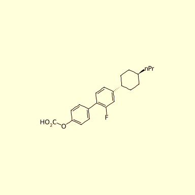 CCC[C@H]1CC[C@H](c2ccc(-c3ccc(OC(=O)O)cc3)c(F)c2)CC1